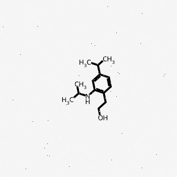 CC(C)Nc1cc(C(C)C)ccc1CCO